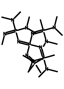 CN=P(N=P(N=P(C)(C)C)(N=P(C)(N(C)C)N(C)C)N=P(C)(N(C)C)N(C)C)(N(C)C)N(C)C